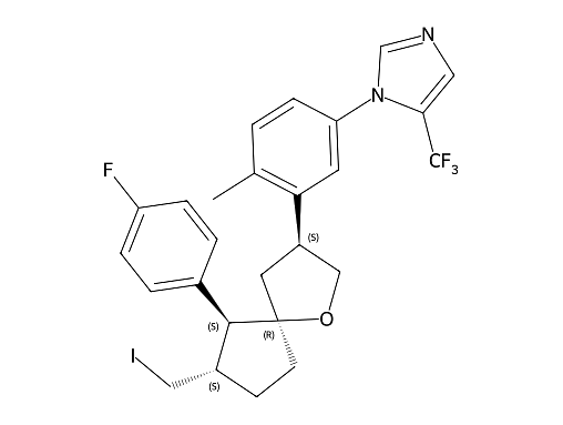 Cc1ccc(-n2cncc2C(F)(F)F)cc1[C@H]1CO[C@]2(CC[C@H](CI)[C@H]2c2ccc(F)cc2)C1